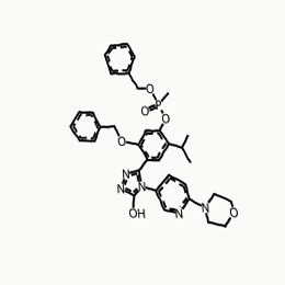 CC(C)c1cc(-c2nnc(O)n2-c2ccc(N3CCOCC3)nc2)c(OCc2ccccc2)cc1OP(C)(=O)OCc1ccccc1